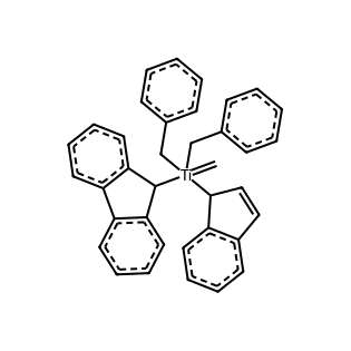 [CH2]=[Ti]([CH2]c1ccccc1)([CH2]c1ccccc1)([CH]1C=Cc2ccccc21)[CH]1c2ccccc2-c2ccccc21